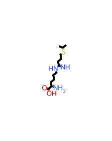 CC(C)SCCCC(=N)NCCCC[C@H](N)C(=O)O